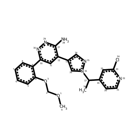 COCOc1ccccc1-c1cc(-c2cnn(C(C)c3ccnc(Cl)c3)c2)c(N)nn1